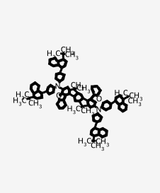 CC(C)(C)c1ccc(-c2ccc(N(c3ccc(-c4ccc(C(C)(C)C)c5ccccc45)cc3)c3cc4c(c5c3oc3ccccc35)-c3cc5c(cc3C4(C)C)-c3c(cc(N(c4ccc(-c6ccc(C(C)(C)C)c7ccccc67)cc4)c4ccc(-c6ccc(C(C)(C)C)c7ccccc67)cc4)c4oc6ccccc6c34)C5(C)C)cc2)c2ccccc12